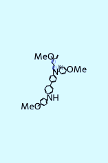 C=C/C(=C\C=C\N(c1ccc(C2=CC=C(Nc3ccc(OC)cc3)C=CC2)cc1)C1C=CC(OC)=C[C@H]1C)OC